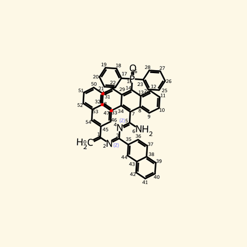 C=C(/N=C(\N=C(/N)c1c2ccccc2c(P(=O)(c2ccccc2)c2ccccc2)c2ccccc12)c1ccc2ccccc2c1)c1ccc2ccccc2c1